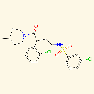 CC1CCN(C(=O)C(CCNS(=O)(=O)c2cccc(Cl)c2)c2ccccc2Cl)CC1